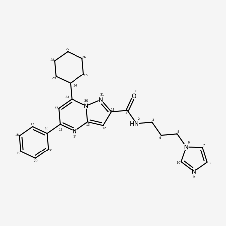 O=C(NCCCn1ccnc1)c1cc2nc(-c3ccccc3)cc(C3CCCCC3)n2n1